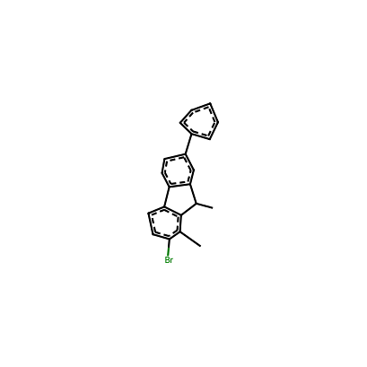 Cc1c(Br)ccc2c1C(C)c1cc(-c3ccccc3)ccc1-2